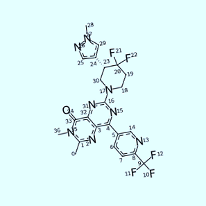 Cc1nc2c(-c3ccc(C(F)(F)F)nc3)nc(N3CCC(F)(F)[C@@H](c4cnn(C)c4)C3)nc2c(=O)n1C